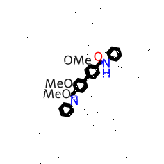 CO/C(=N\c1ccccc1)c1ccc(-c2ccc(C(=O)Nc3ccccc3)c(OC)c2)cc1OC